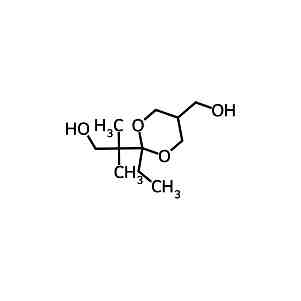 CCC1(C(C)(C)CO)OCC(CO)CO1